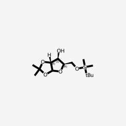 CC1(C)OC2O[C@H](CO[Si](C)(C)C(C)(C)C)[C@H](O)[C@H]2O1